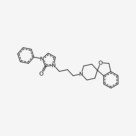 O=c1n(CCCN2CCC3(CC2)OCc2ccccc23)ccn1-c1ccccc1